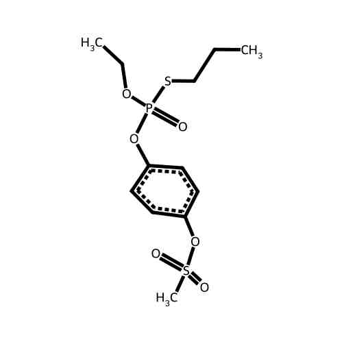 CCCSP(=O)(OCC)Oc1ccc(OS(C)(=O)=O)cc1